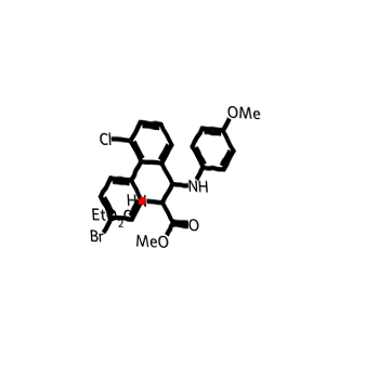 CCOC(=O)NC(C(=O)OC)C(Nc1ccc(OC)cc1)c1cccc(Cl)c1-c1ccc(Br)cc1